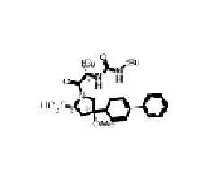 CO[C@@]1(C2C=CC(c3ccccc3)=CC2)C[C@@H](C(=O)O)N(C(=O)[C@@H](NC(=O)NC(C)(C)C)C(C)(C)C)C1